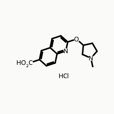 CN1CCC(Oc2ccc3cc(C(=O)O)ccc3n2)C1.Cl